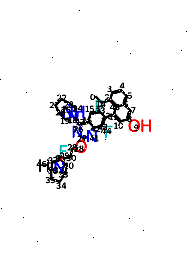 CCc1cccc2cc(O)cc(-c3c(F)cc4c(N5CC6CCC(C5)N6)nc(OCCCN5C6CC[C@@H]5C[C@H](F)C6)nc4c3F)c12